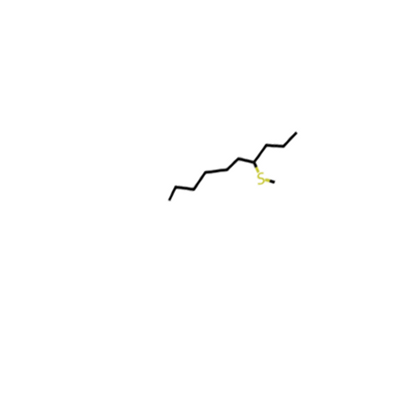 CCCCCCC(CCC)SC